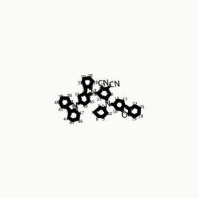 N#Cc1cc(N(c2ccccc2)c2ccc3c(c2)oc2ccccc23)cc(-n2c3ccccc3c3cc(-n4c5ccccc5c5ccccc54)ccc32)c1C#N